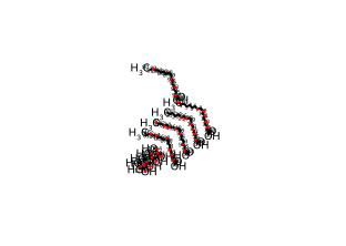 CCCCCCCC/C=C\CCCCCCCC(=O)O.CCCCCCCC/C=C\CCCCCCCC(=O)O.CCCCCCCC/C=C\CCCCCCCC(=O)O.CCCCCCCC/C=C\CCCCCCCC(=O)O.CCCCCCCC/C=C\CCCCCCCC(=O)O.OCC(O)CO.OCC(O)CO.OCC(O)CO.OCC(O)CO